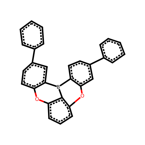 c1ccc(-c2ccc3c(c2)Oc2cccc4c2B3c2cc(-c3ccccc3)ccc2O4)cc1